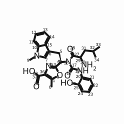 Cc1oc([C@@H](Cc2cn(C)c3ccccc23)N(C(=O)Nc2ccccc2O)C(=O)C(N)CC(C)C)nc1C(=O)O